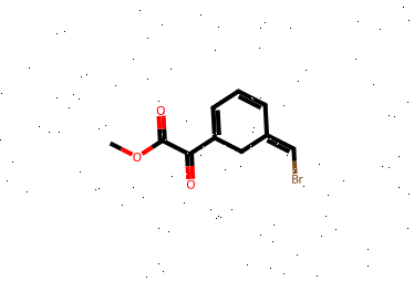 COC(=O)C(=O)C1=CC=CC(=CBr)C1